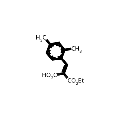 CCOC(=O)C(=Cc1ccc(C)cc1C)C(=O)O